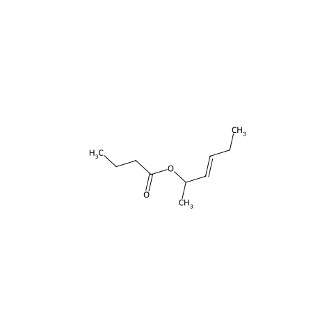 CCC=CC(C)OC(=O)CCC